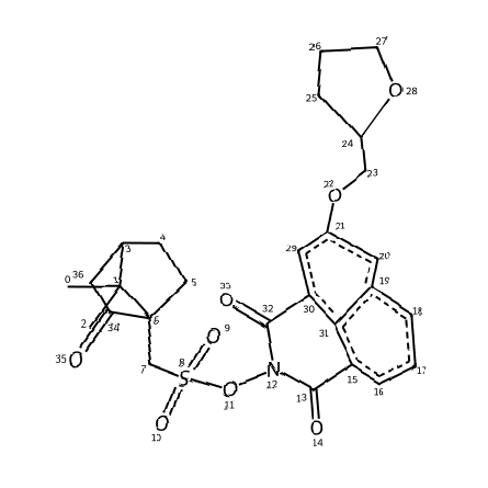 CC1(C)C2CCC1(CS(=O)(=O)ON1C(=O)c3cccc4cc(OCC5CCCO5)cc(c34)C1=O)C(=O)C2